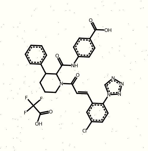 O=C(O)C(F)(F)F.O=C(O)c1ccc(NC(=O)C2C(c3ccccc3)CCCN2C(=O)C=Cc2cc(Cl)ccc2-n2cnnn2)cc1